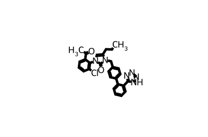 CCCc1cn(-c2c(Cl)cccc2C(C)=O)c(=O)n1Cc1ccc(-c2ccccc2-c2nnn[nH]2)cc1